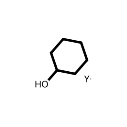 OC1CCCCC1.[Y]